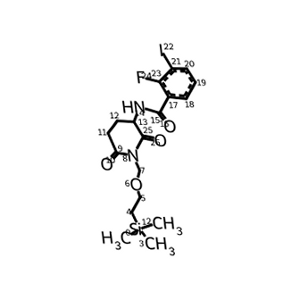 C[Si](C)(C)CCOCN1C(=O)CCC(NC(=O)c2cccc(I)c2F)C1=O